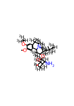 [2H]C([2H])([2H])Oc1cc2c(cc1OC)C1N(C([2H])([2H])C2([2H])[2H])C([2H])([2H])C([2H])(C([2H])([2H])C([2H])(C)C([2H])([2H])[2H])C([2H])(OC(=O)[C@@]([2H])(N)C([2H])(C([2H])([2H])[2H])C([2H])([2H])[2H])C1([2H])[2H]